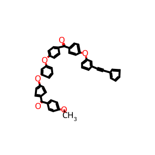 COc1ccc(C(=O)c2ccc(Oc3cccc(Oc4ccc(C(=O)c5ccc(Oc6cccc(C#Cc7ccccc7)c6)cc5)cc4)c3)cc2)cc1